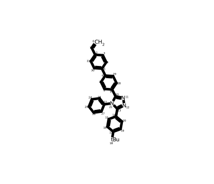 C=Cc1ccc(-c2ccc(-c3nnc(-c4ccc(C(C)(C)C)cc4)n3-c3ccccc3)cc2)cc1